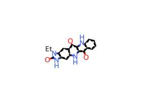 CCn1c(=O)[nH]c2cc3[nH]c4c(=O)c5ccccc5[nH]c4c(=O)c3cc21